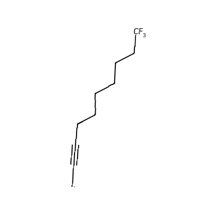 [CH2]C#CCCCCCCC(F)(F)F